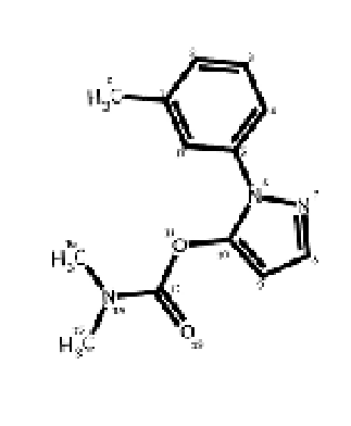 Cc1cccc(-n2nccc2OC(=O)N(C)C)c1